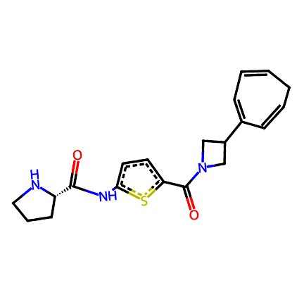 O=C(Nc1ccc(C(=O)N2CC(C3=CC=CCC=C3)C2)s1)[C@@H]1CCCN1